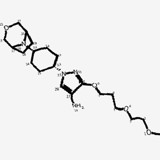 COCCOCCCOc1nn([C@H]2CC[C@H](N3C4CCC3COC4)CC2)cc1N